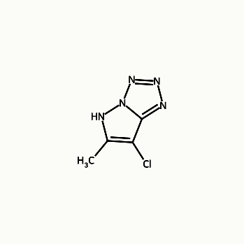 Cc1[nH]n2nnnc2c1Cl